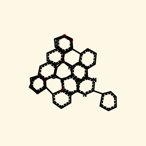 c1ccc(B2c3ccccc3N(c3c(-c4ccccc4)cccc3-c3nc(-c4ccccc4)nc(-c4cccc(-c5ccccc5)c4N4c5ccccc5B(c5ccccc5)c5ccccc54)n3)c3ccccc32)cc1